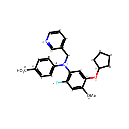 COc1cc(F)c(N(Cc2cccnc2)c2ccc(C(=O)O)cc2)cc1OC1CCCC1